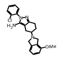 COc1cccc2c1CN(C1CCc3nn(-c4ccccc4Cl)c(N)c3C1)C2